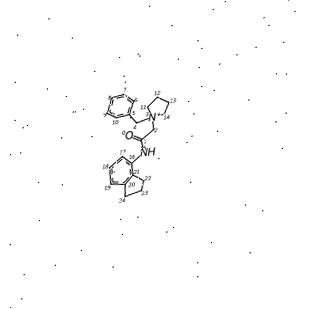 O=C(C[N+]1(Cc2ccccc2)CCCC1)Nc1cccc2c1CCC2